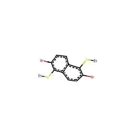 CCSc1c(Br)ccc2c(SCC)c(Br)ccc12